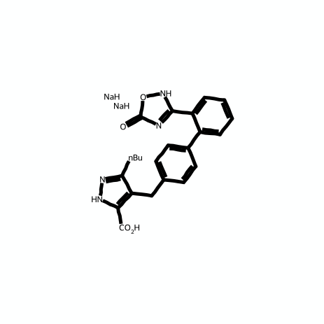 CCCCc1n[nH]c(C(=O)O)c1Cc1ccc(-c2ccccc2-c2nc(=O)o[nH]2)cc1.[NaH].[NaH]